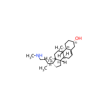 CNCC[C@@H](C)[C@H]1CC[C@H]2[C@@H]3CC=C4C[C@@H](O)CC[C@]4(C)[C@H]3CC[C@]12C